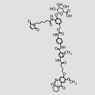 COc1cc2c(cc1OCCCC(=O)Nc1cc(C(=O)Nc3ccc(NC(=O)OCc4ccc(O[C@@H]5O[C@H](C(=O)O)[C@@H](O)[C@H](O)[C@H]5O)c(NC(=O)CCCCCN5C(=O)C=CC5=O)c4)cc3)n(C)c1)N=C[C@@H]1CCCCN1C2=O